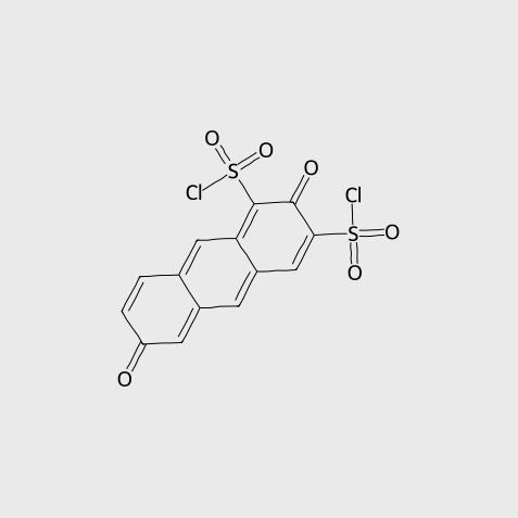 O=C1C=Cc2cc3c(cc2=C1)C=C(S(=O)(=O)Cl)C(=O)C=3S(=O)(=O)Cl